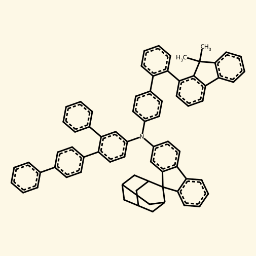 CC1(C)c2ccccc2-c2cccc(-c3ccccc3-c3ccc(N(c4ccc(-c5ccc(-c6ccccc6)cc5)c(-c5ccccc5)c4)c4ccc5c(c4)C4(c6ccccc6-5)C5CC6CC(C5)CC4C6)cc3)c21